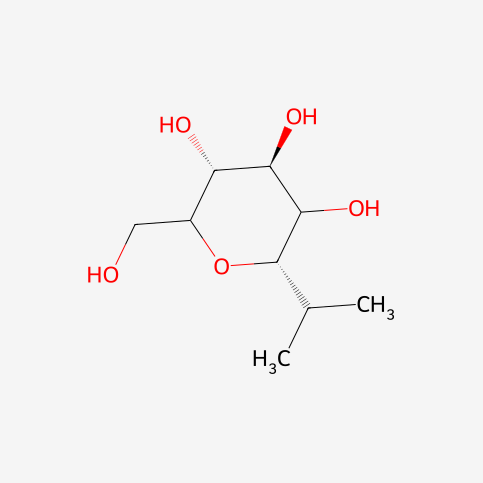 CC(C)[C@@H]1OC(CO)[C@H](O)[C@@H](O)C1O